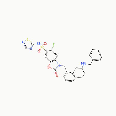 O=c1oc2cc(S(=O)(=O)Nc3ncns3)c(F)cc2n1Cc1cccc2c1CC(NCc1ccccc1)CC2